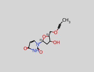 CC#COC[C@@H]1O[C@H](n2ccc(=O)[nH]c2=O)CC1O